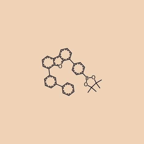 CC1(C)OB(c2ccc(-c3cccc4c3oc3c(-c5cccc(-c6ccccc6)c5)cccc34)cc2)OC1(C)C